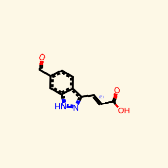 O=Cc1ccc2c(/C=C/C(=O)O)n[nH]c2c1